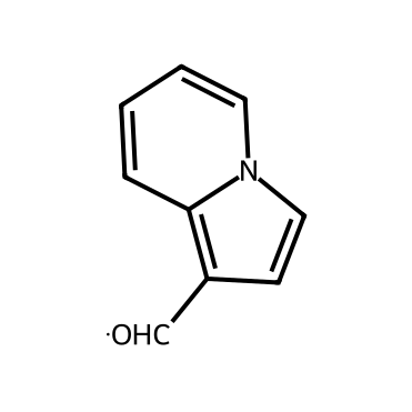 O=[C]c1ccn2ccccc12